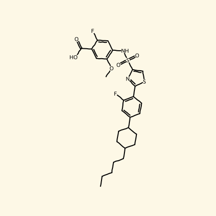 CCCCCC1CCC(c2ccc(-c3nc(S(=O)(=O)Nc4cc(F)c(C(=O)O)cc4OC)cs3)c(F)c2)CC1